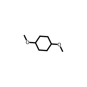 COC1CCC(OC)CC1